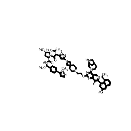 CCc1cccc2cc(O)cc(-c3ncc4c(N5CCC6CNC(C6)C5)nc(OCCN5CCC6(CC5)CN(c5cc([C@H](C(=O)N7C[C@H](O)C[C@H]7C(=O)N[C@@H](C)c7ccc(-c8ccnn8C)cc7)C(C)C)on5)C6)nc4c3F)c12